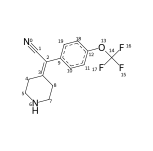 N#CC(=C1CCNCC1)c1ccc(OC(F)(F)F)cc1